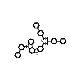 C1=CC2C(c3ccccc3N2c2cccc(-c3ccccc3)c2)c2c1oc1ccc(-c3nc(-c4ccc(-c5ccccc5)cc4)nc(-c4ccc(-c5ccccc5)cc4)n3)cc21